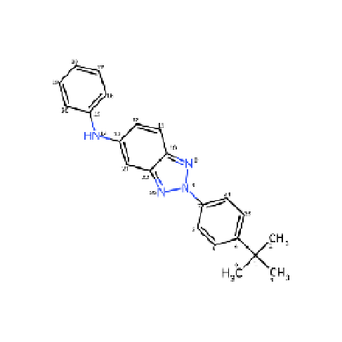 CC(C)(C)c1ccc(-n2nc3ccc(Nc4ccccc4)cc3n2)cc1